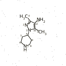 Cc1nn(C2CCNCC2)c(C)c1N